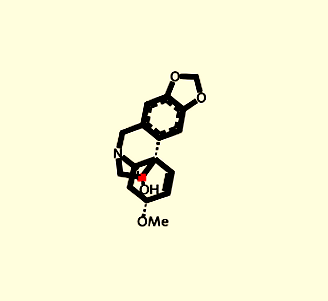 CO[C@H]1C=C[C@@]23c4cc5c(cc4CN(C[C@H]2O)[C@H]3C1)OCO5